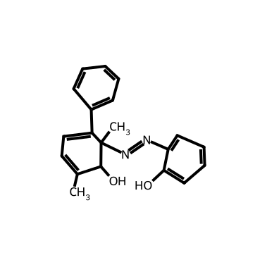 CC1=CC=C(c2ccccc2)C(C)(N=Nc2ccccc2O)C1O